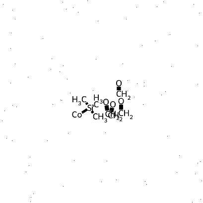 C=O.C=O.C=O.C=O.C[Si](C)(C)[Co]